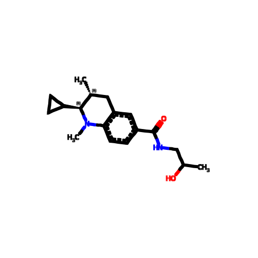 CC(O)CNC(=O)c1ccc2c(c1)C[C@@H](C)[C@H](C1CC1)N2C